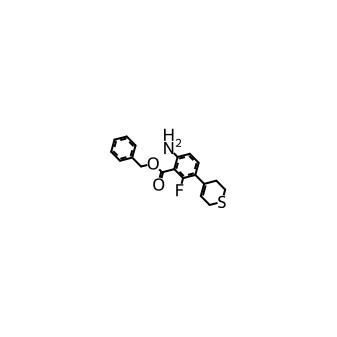 Nc1ccc(C2=CCSCC2)c(F)c1C(=O)OCc1ccccc1